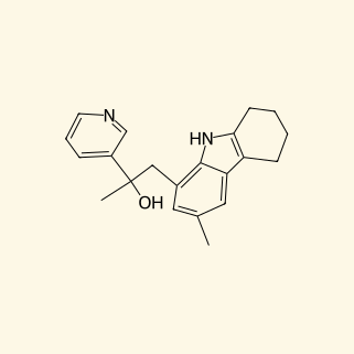 Cc1cc(CC(C)(O)c2cccnc2)c2[nH]c3c(c2c1)CCCC3